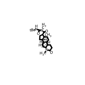 CN(C(=O)NC(C)(C)C)C(=O)C1CC[C@H]2[C@@H]3CCC4N(C)C(=O)CC[C@]4(C)[C@@H]3CC[C@]12C